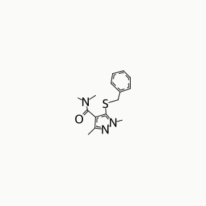 Cc1nn(C)c(SCc2ccccc2)c1C(=O)N(C)C